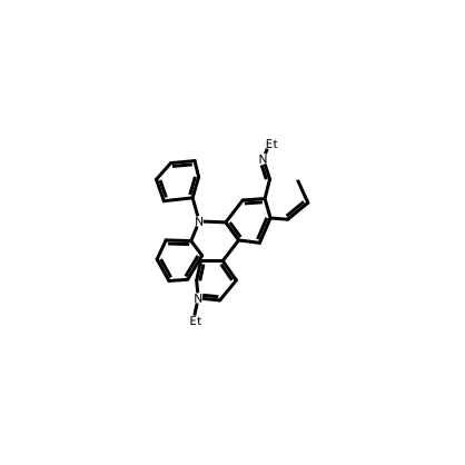 C/C=C\c1cc(-c2cc[n+](CC)cc2)c(N(c2ccccc2)c2ccccc2)cc1/C=N/CC